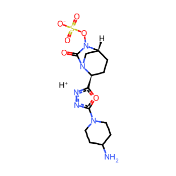 NC1CCN(c2nnc([C@@H]3CC[C@@H]4CN3C(=O)N4OS(=O)(=O)[O-])o2)CC1.[H+]